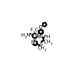 C=C(S/C=C(\C)C(=P)Nc1ccc(OC2CCCC2)c(C(F)(F)F)c1N1CCC[C@@H](CN)C1)c1ccnnc1